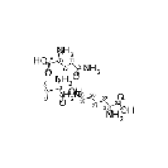 CC(C)[C@H](N)C(=O)O.NC(=O)CC[C@H](N)C(=O)O.NCCCC[C@H](N)C(=O)O